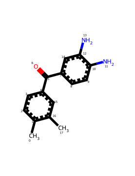 Cc1ccc(C(=O)c2ccc(N)c(N)c2)cc1C